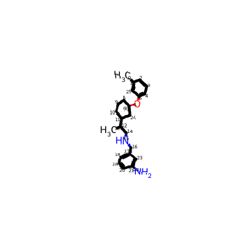 Cc1cccc(O[C@@H]2CCCC(C(C)CNCc3cccc(N)c3)C2)c1